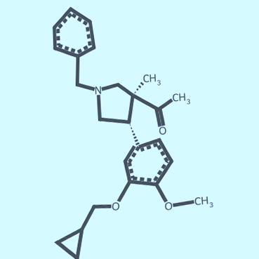 COc1ccc([C@@H]2CN(Cc3ccccc3)C[C@@]2(C)C(C)=O)cc1OCC1CC1